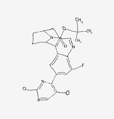 CC(C)(C)OC(=O)N1C2CCC1c1c(cnc3c(F)cc(-c4nc(Cl)ncc4Cl)cc13)C2